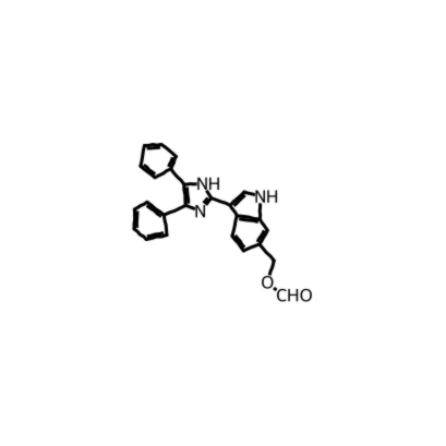 O=COCc1ccc2c(-c3nc(-c4ccccc4)c(-c4ccccc4)[nH]3)c[nH]c2c1